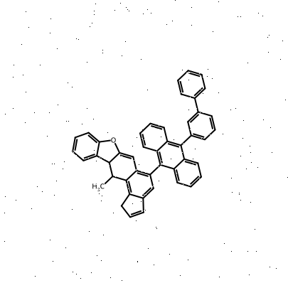 CC1c2c(c(-c3c4ccccc4c(-c4cccc(-c5ccccc5)c4)c4ccccc34)cc3c2CC=C3)C=C2Oc3ccccc3C21